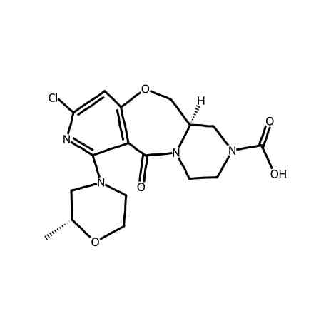 C[C@@H]1CN(c2nc(Cl)cc3c2C(=O)N2CCN(C(=O)O)C[C@@H]2CO3)CCO1